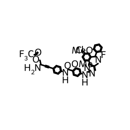 COc1cc(Nc2ncc3c(n2)-c2ccc(Cl)cc2C(c2c(F)cccc2OC)=NC3)ccc1C(=O)Nc1ccc(C#CC(N)COC(=O)C(F)(F)F)cc1